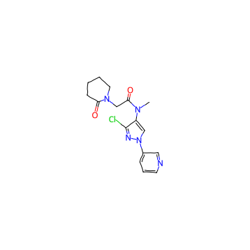 CN(C(=O)CN1CCCCC1=O)c1cn(-c2cccnc2)nc1Cl